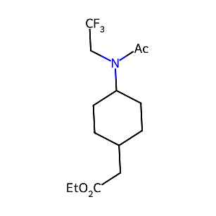 CCOC(=O)CC1CCC(N(CC(F)(F)F)C(C)=O)CC1